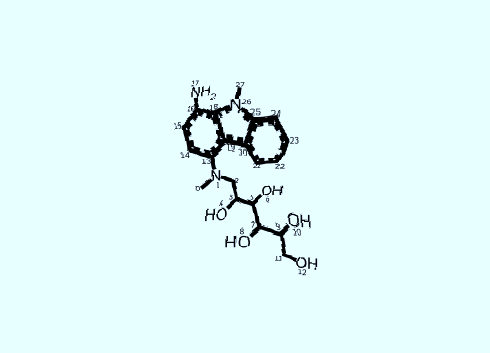 CN(CC(O)C(O)C(O)C(O)CO)c1ccc(N)c2c1c1ccccc1n2C